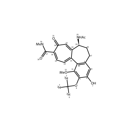 [2H]C([2H])([2H])Oc1c(O)cc2c(c1OC)-c1ccc(C(=O)NC)c(=O)cc1[C@@H](NC(C)=O)CC2